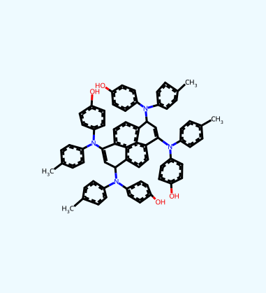 Cc1ccc(N(C2=CC(N(c3ccc(C)cc3)c3ccc(O)cc3)c3ccc4c5c(ccc2c35)C(N(c2ccc(C)cc2)c2ccc(O)cc2)C=C4N(c2ccc(C)cc2)c2ccc(O)cc2)c2ccc(O)cc2)cc1